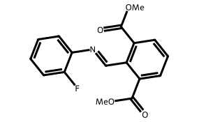 COC(=O)c1cccc(C(=O)OC)c1C=Nc1ccccc1F